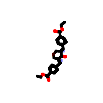 CCOC(=O)c1ccc(/C=C2\CSC/C(=C\c3ccc(C(=O)OCC)cc3)C2=O)cc1